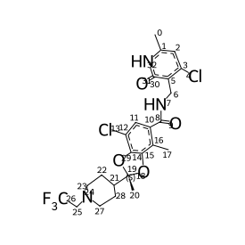 Cc1cc(Cl)c(CNC(=O)c2cc(Cl)c3c(c2C)O[C@](C)(C2CCN(CC(F)(F)F)CC2)O3)c(=O)[nH]1